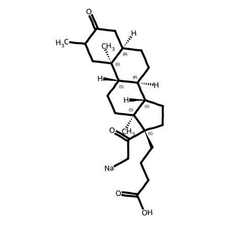 CC1C[C@@]2(C)[C@H](CC[C@@H]3[C@@H]2CC[C@@]2(C)[C@H]3CC[C@]2(CCCC(=O)O)C(=O)[CH2][Na])CC1=O